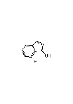 OC1C=Cc2ccccc21.[H+]